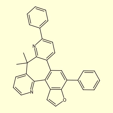 CC1(C)c2cccnc2-c2c(cc(-c3ccccc3)c3occc23)-c2ccc(-c3ccccc3)nc21